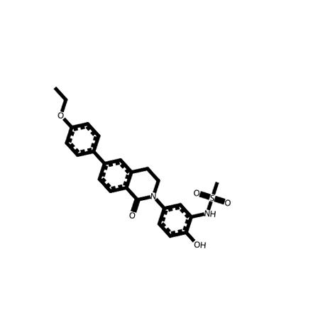 CCOc1ccc(-c2ccc3c(c2)CCN(c2ccc(O)c(NS(C)(=O)=O)c2)C3=O)cc1